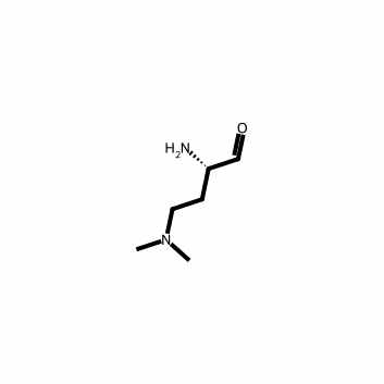 CN(C)CC[C@H](N)C=O